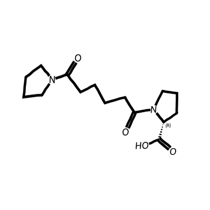 O=C(O)[C@H]1CCCN1C(=O)CCCCC(=O)N1CCCC1